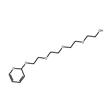 OCCOCCOCCOCCOC1C=CC=CO1